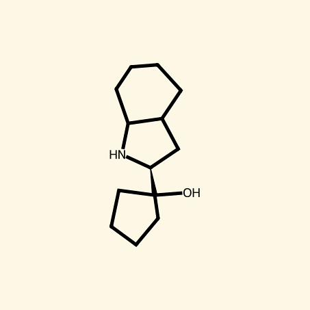 OC1([C@@H]2CC3CCCCC3N2)CCCC1